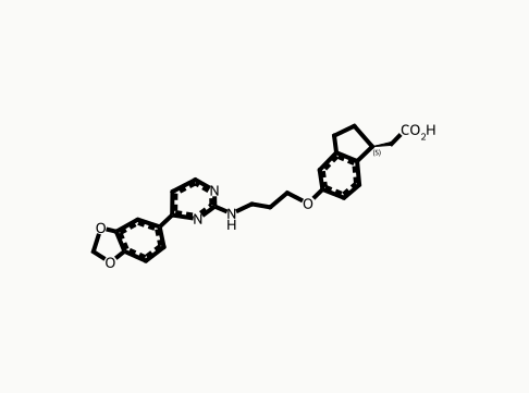 O=C(O)C[C@@H]1CCc2cc(OCCCNc3nccc(-c4ccc5c(c4)OCO5)n3)ccc21